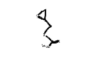 CNC(=S)SCC1CS1